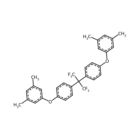 Cc1cc(C)cc(Oc2ccc(C(c3ccc(Oc4cc(C)cc(C)c4)cc3)(C(F)(F)F)C(F)(F)F)cc2)c1